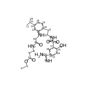 CCOC(=O)CCNC(=O)CNc1cc(C(C)C)ccc1CCNS(=O)(=O)c1cc(C(=N)N)ccc1O